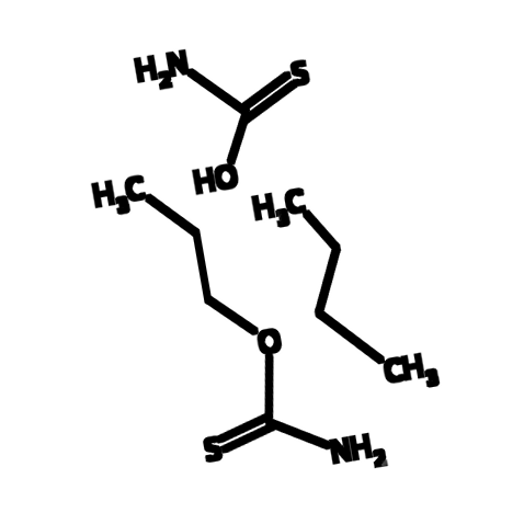 CCCC.CCCOC(N)=S.NC(O)=S